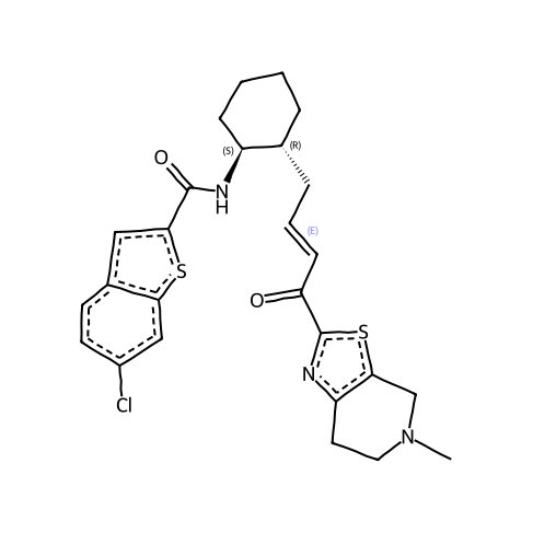 CN1CCc2nc(C(=O)/C=C/C[C@H]3CCCC[C@@H]3NC(=O)c3cc4ccc(Cl)cc4s3)sc2C1